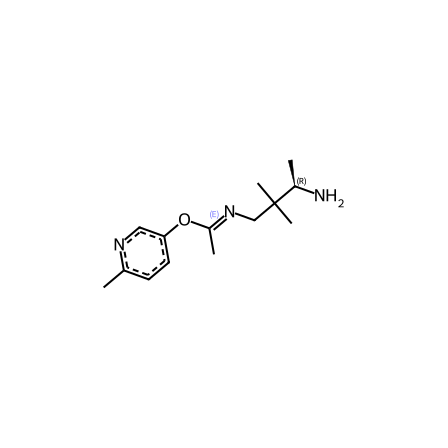 C/C(=N\CC(C)(C)[C@@H](C)N)Oc1ccc(C)nc1